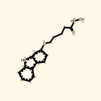 O=C(CCCCOc1ccc2c(c1)[nH]c1ccccc12)NO